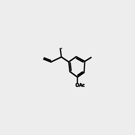 [CH2]C(C=C)c1cc(C)cc(OC(C)=O)c1